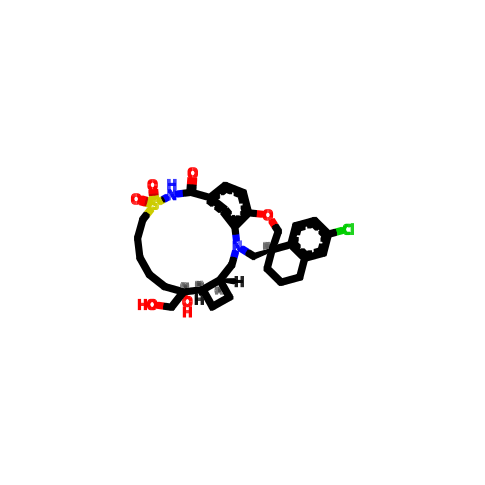 O=C1NS(=O)(=O)CCCCC[C@@](O)(CO)[C@@H]2CC[C@H]2CN2C[C@@]3(CCCc4cc(Cl)ccc43)COc3ccc1cc32